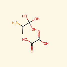 CC(P)C(O)(O)O.O=C(O)C(=O)O